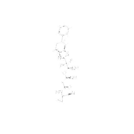 N#CC1(NC(=O)CC(=N)OC(=N)C(F)(F)c2nc3c(s2)=CC(c2ccccc2)CC=3)CC1